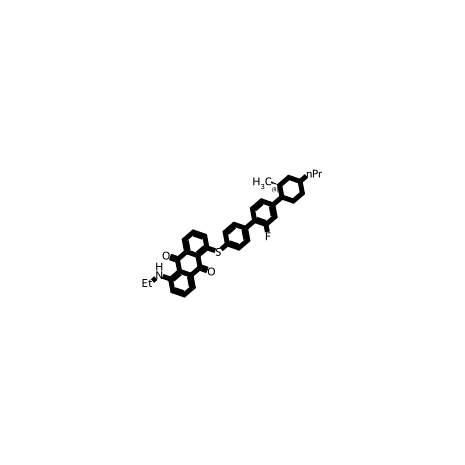 CCCC1CCC(c2ccc(-c3ccc(Sc4cccc5c4C(=O)c4cccc(NCC)c4C5=O)cc3)c(F)c2)[C@H](C)C1